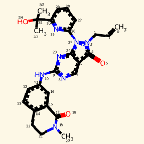 C=CCn1c(=O)c2cnc(Nc3ccc4c(c3)C(=O)N(C)CC4)nc2n1-c1cccc(C(C)(C)O)n1